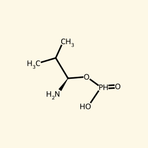 CC(C)[C@H](N)O[PH](=O)O